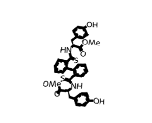 COC(=O)[C@H](Cc1ccc(O)cc1)NC(=S)c1ccccc1-c1ccccc1C(=S)N[C@@H](Cc1ccc(O)cc1)C(=O)OC